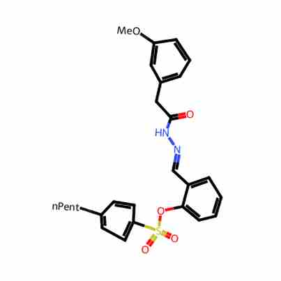 CCCCCc1ccc(S(=O)(=O)Oc2ccccc2C=NNC(=O)Cc2cccc(OC)c2)cc1